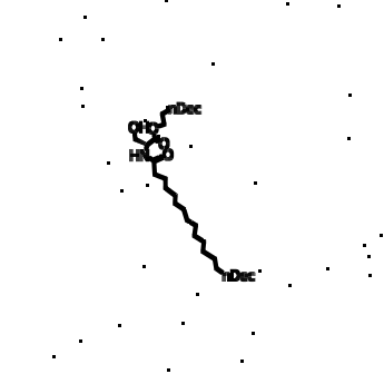 CCCCCCCCCCCCCCCCCCCCCCCC(=O)N[C@@H](CO)C(=O)OCCCCCCCCCCCC